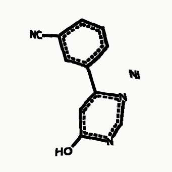 N#Cc1cccc(-c2cc(O)ncn2)c1.[Ni]